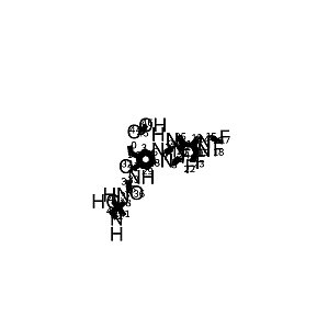 CCc1cc(Nc2nccn3c(-c4cn(CC(F)F)nc4C(F)(F)F)cnc23)ccc1C(=O)NCC(=O)NCC1(O)CNC1.O=CO